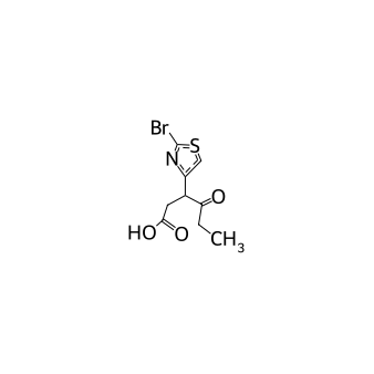 CCC(=O)C(CC(=O)O)c1csc(Br)n1